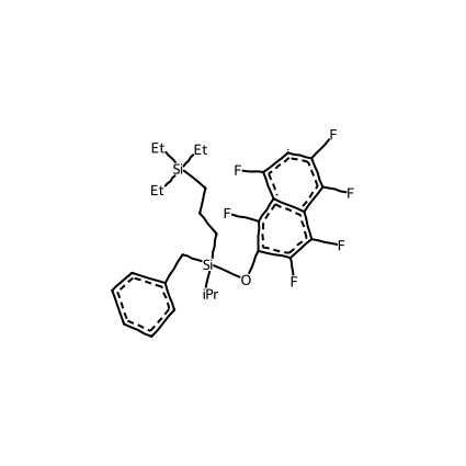 CC[Si](CC)(CC)CCC[Si](Cc1ccccc1)(Oc1c(F)c(F)c2c(F)c(F)[c]c(F)c2c1F)C(C)C